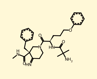 CNC(=O)[C@]1(Cc2ccccc2)CN(C(=O)[C@@H](CCCOc2ccccc2)NC(=O)C(C)(C)N)CCC1=N